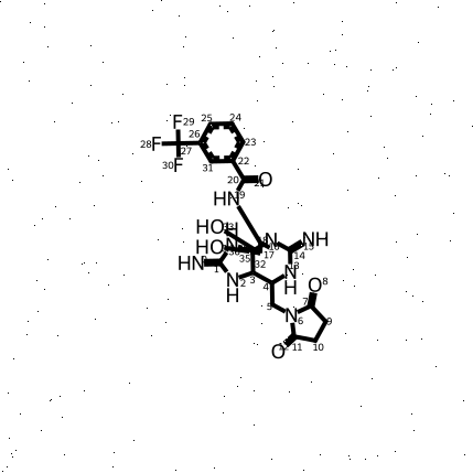 N=C1NC2C(CN3C(=O)CCC3=O)NC(=N)N3CC(NC(=O)c4cccc(C(F)(F)F)c4)C(O)(O)C23N1